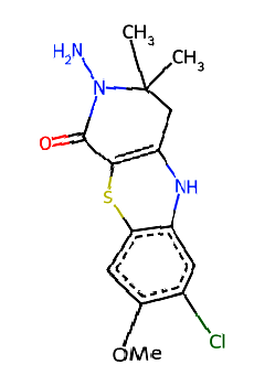 COc1cc2c(cc1Cl)NC1=C(S2)C(=O)N(N)C(C)(C)C1